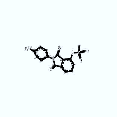 CS(=O)(=O)Oc1cccc2c1C(=O)N(c1ccc(C(F)(F)F)cc1)C2=O